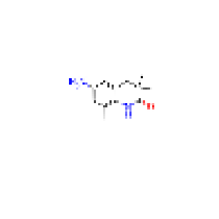 Cc1cc(N)cc2c1NC(=O)C(C)(C)C2